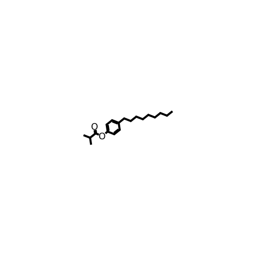 CCCCCCCCCc1ccc(OC(=O)C(C)C)cc1